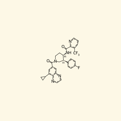 O=C(N[C@@H]1CCN(C(=O)c2cc(C3CC3)c3nccnc3c2)C[C@@H]1c1ccc(F)cc1)c1ncccc1C(F)(F)F